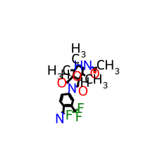 CC(=O)N[C@@H]1[C@@H](C)C2(C)OC1(C)[C@H]1C(=O)N(c3ccc(C#N)c(C(F)(F)F)c3)C(=O)[C@H]12